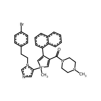 CN1CCN(C(=O)C2=C[N+](C)(c3cncn3CCc3ccc(Br)cc3)C=C2c2cccc3ccccc23)CC1